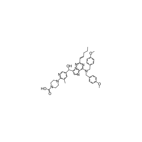 CCC/C=C/c1nc(N(Cc2ccc(OC)cc2)Cc2ccc(OC)cc2)c2ncc(C(O)c3cnc(N4CCN(C(=O)O)CC4)c(C)c3)n2n1